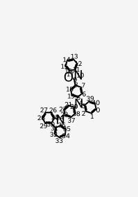 c1ccc(N(c2ccc(-c3nc4ccccc4o3)cc2)c2ccc(-n3c4ccccc4c4ccccc43)cc2)cc1